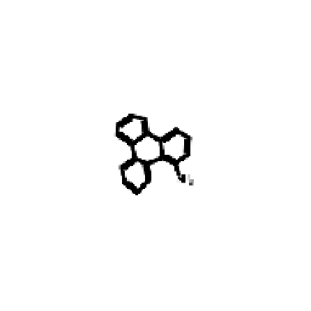 Nc1cccc2c3ccccc3c3ccccc3c12